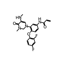 C=CC(=O)Nc1ccc(Oc2ccc(F)cc2F)c(N2C=C(NC)C(=O)N(C)C2)c1